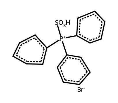 O=S(=O)(O)[P+](c1ccccc1)(c1ccccc1)c1ccccc1.[Br-]